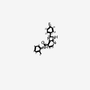 Cc1ccccc1NC(=O)c1ccnc2[nH]c(-c3ccc(F)cc3)nc12